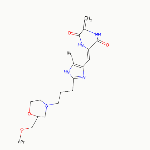 C=c1[nH]c(=O)c(=Cc2nc(CCCN3CCOC(COCCC)C3)[nH]c2C(C)C)[nH]c1=O